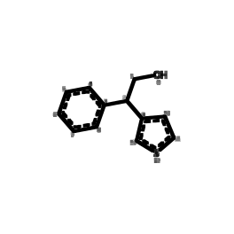 OCC(c1ccccc1)c1ccsc1